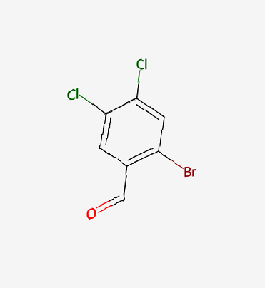 O=Cc1cc(Cl)c(Cl)cc1Br